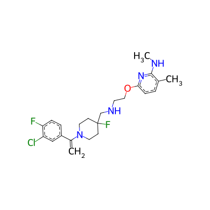 C=C(c1ccc(F)c(Cl)c1)N1CCC(F)(CNCCOc2ccc(C)c(NC)n2)CC1